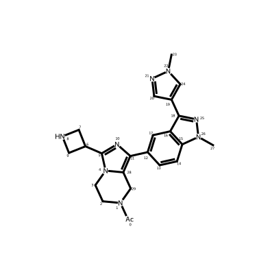 CC(=O)N1CCn2c(C3CNC3)nc(-c3ccc4c(c3)c(-c3cnn(C)c3)nn4C)c2C1